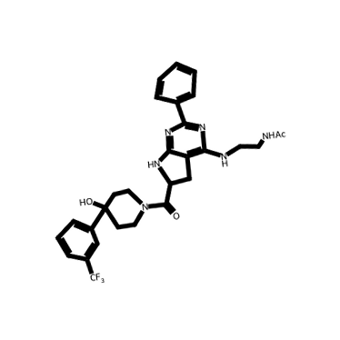 CC(=O)NCCNc1nc(-c2ccccc2)nc2c1CC(C(=O)N1CCC(O)(c3cccc(C(F)(F)F)c3)CC1)N2